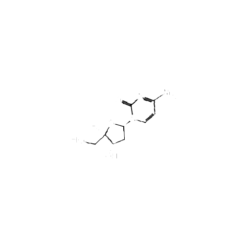 Nc1ccn([C@H]2C[C@H](O)[C@@](F)(CO)O2)c(=O)n1